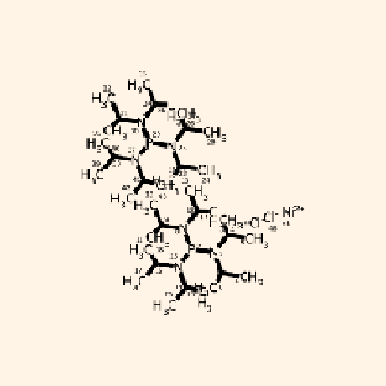 CC(C)N(C(C)C)P(N(C(C)C)C(C)C)N(C(C)C)C(C)C.CC(C)N(C(C)C)P(N(C(C)C)C(C)C)N(C(C)C)C(C)C.[Cl-].[Cl-].[Ni+2]